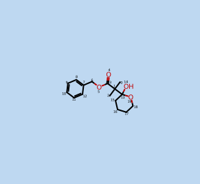 CC(C)(C(=O)OCc1ccccc1)C1(O)CCCCO1